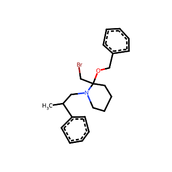 CC(CN1CCCCC1(CBr)OCc1ccccc1)c1ccccc1